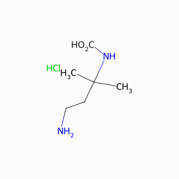 CC(C)(CCN)NC(=O)O.Cl